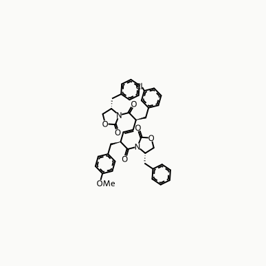 COc1ccc(C[C@@H](C=C[C@H](Cc2cccc(Cl)c2)C(=O)N2C(=O)OC[C@@H]2Cc2ccccc2)C(=O)N2C(=O)OC[C@@H]2Cc2ccccc2)cc1